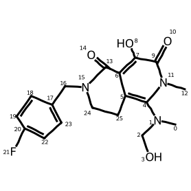 CN(CO)c1c2c(c(O)c(=O)n1C)C(=O)N(Cc1ccc(F)cc1)CC2